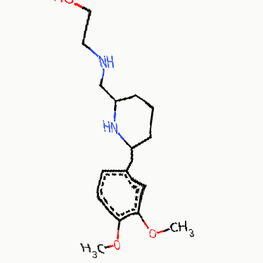 COc1ccc(C2CCCC(CNCCO)N2)cc1OC